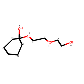 OCCOCCOC1(O)CCCCC1